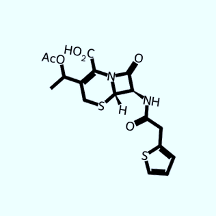 CC(=O)OC(C)C1=C(C(=O)O)N2C(=O)[C@@H](NC(=O)Cc3cccs3)[C@@H]2SC1